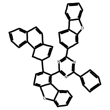 C1=CC(c2ccc3oc4ccccc4c3c2-c2nc(-c3ccccc3)nc(-c3ccc4c(c3)oc3ccccc34)n2)Cc2c1ccc1ccccc21